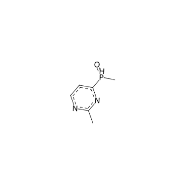 Cc1nccc([PH](C)=O)n1